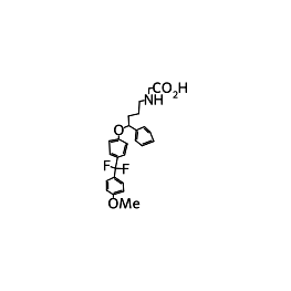 COc1ccc(C(F)(F)c2ccc(OC(CCCNCC(=O)O)c3ccccc3)cc2)cc1